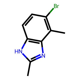 Cc1nc2c(C)c(Br)ccc2[nH]1